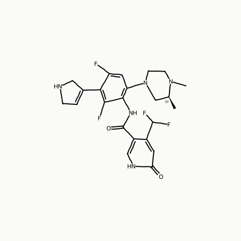 C[C@H]1CN(c2cc(F)c(C3=CCNC3)c(F)c2NC(=O)c2c[nH]c(=O)cc2C(F)F)CCN1C